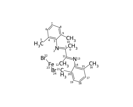 CC(=Nc1c(C)cccc1C)C(C)=Nc1c(C)cccc1C.[Br][Fe][Br]